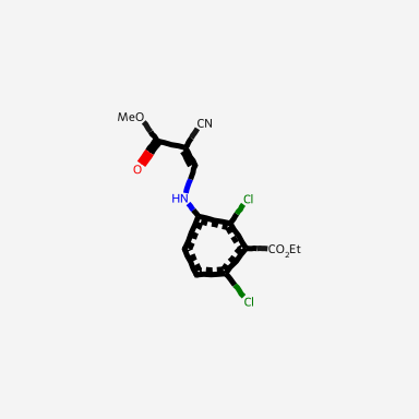 CCOC(=O)c1c(Cl)ccc(NC=C(C#N)C(=O)OC)c1Cl